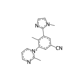 Cc1c(-c2nccn2C)cc(C#N)cc1-[n+]1cccnc1C